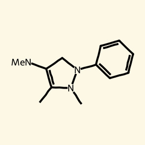 CNC1=C(C)N(C)N(c2ccccc2)C1